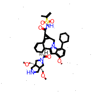 C=C(C)S(=O)(=O)NC(=O)C1=C2Cn3c(cc4c(OC)ccc(C5CCCCC5)c43)[C@@H]3C(=C21)C=CC[C@H]3C(=O)N1C[C@@]2(COC)CNC[C@@]2(COC)C1